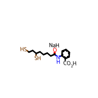 O=C(CCCCC(S)CCS)Nc1ccccc1C(=O)O.[NaH]